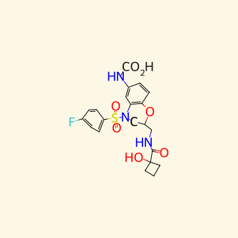 O=C(O)Nc1ccc2c(c1)N(S(=O)(=O)c1ccc(F)cc1)CC(CNC(=O)C1(O)CCC1)O2